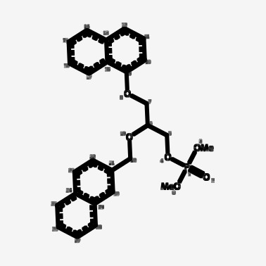 COP(=O)(OC)OCC(COc1cccc2ccccc12)OCc1ccc2ccccc2c1